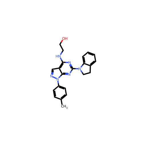 Cc1ccc(-n2ncc3c(NCCO)nc(N4CCc5ccccc54)nc32)cc1